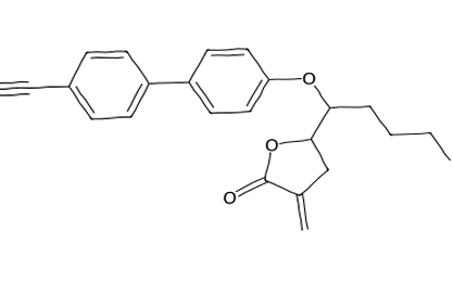 C=C1CC(C(CCCC)Oc2ccc(-c3ccc(C#N)cc3)cc2)OC1=O